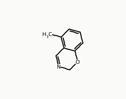 Cc1cccc2c1C=NCO2